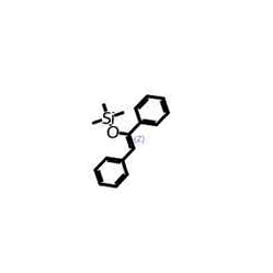 C[Si](C)(C)O/C(=C\c1ccccc1)c1ccccc1